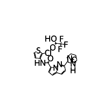 O=C(Nc1ccsc1Cl)c1ccc2ccc(N3CC4CCC3CN4)nn12.O=C(O)C(F)(F)F